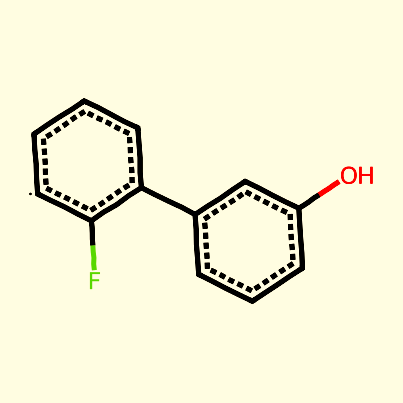 Oc1cccc(-c2ccc[c]c2F)c1